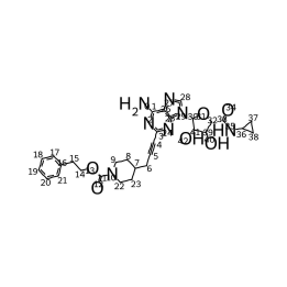 Nc1nc(C#CCC2CCN(C(=O)OCCc3ccccc3)CC2)nc2c1ncn2[C@@H]1O[C@H](C(=O)NC2CC2)C(O)[C@@H]1O